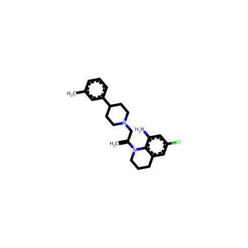 C=C(CN1CCC(c2cccc(C)c2)CC1)N1CCCc2cc(Cl)cc(N)c21